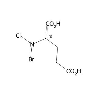 O=C(O)CC[C@@H](C(=O)O)N(Cl)Br